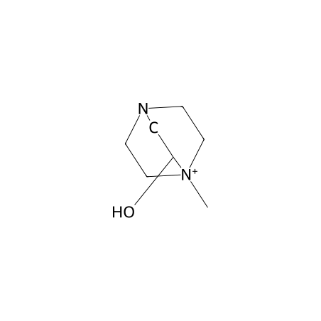 C[N+]12CCN(CC1)CC2O